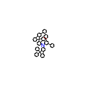 c1ccc(-c2cc(-c3ccccc3)cc(N(c3ccc4c(c3)C(c3ccccc3)(c3ccccc3)c3ccccc3-4)c3cccc4c3-c3ccccc3C43c4ccccc4-c4ccc(-c5ccccc5)cc43)c2)cc1